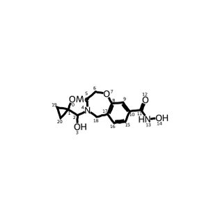 COC1(C(O)N2CCOc3cc(C(=O)NO)ccc3C2)CC1